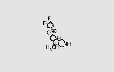 CN1c2ccc(S(=O)(=O)c3ccc(F)c(F)c3)cc2[C@H]2CCNCC[C@@H]21